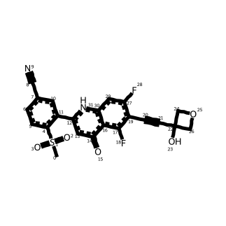 CS(=O)(=O)c1ccc(C#N)cc1-c1cc(=O)c2c(F)c(C#CC3(O)COC3)c(F)cc2[nH]1